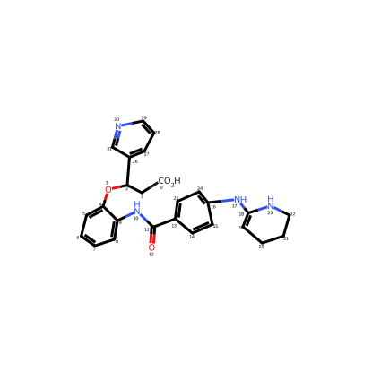 O=C(O)CC(Oc1ccccc1NC(=O)c1ccc(NC2=CCCCN2)cc1)c1cccnc1